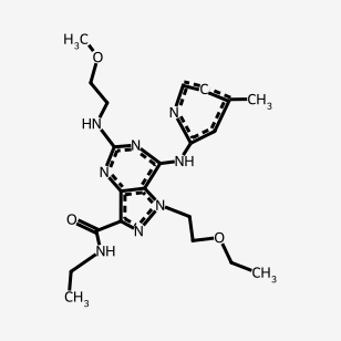 CCNC(=O)c1nn(CCOCC)c2c(Nc3cc(C)ccn3)nc(NCCOC)nc12